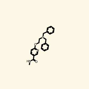 CNC(=O)c1ccc(OCCN(Cc2ccccc2)Cc2ccccc2)nc1